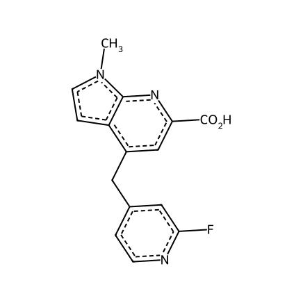 Cn1ccc2c(Cc3ccnc(F)c3)cc(C(=O)O)nc21